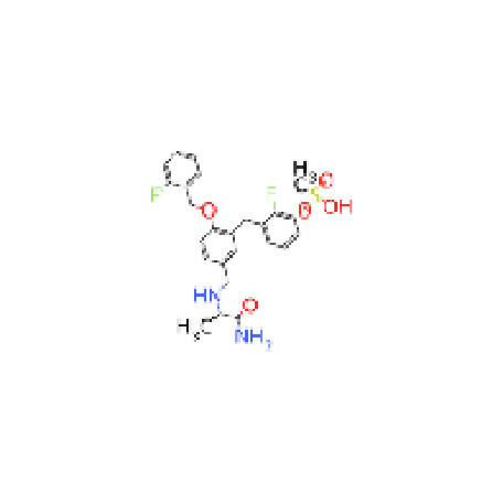 CS(=O)(=O)O.C[C@@H](NCc1ccc(OCc2ccccc2F)c(Cc2ccccc2F)c1)C(N)=O